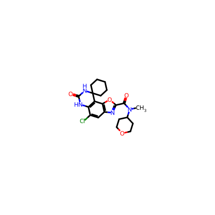 CN(C(=O)c1nc2cc(Cl)c3c(c2o1)C1(CCCCC1)NC(=O)N3)C1CCOCC1